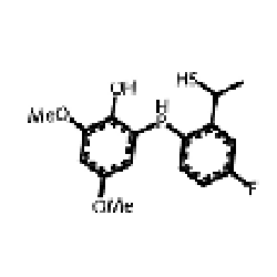 COc1cc(OC)c(O)c(Pc2ccc(F)cc2C(C)S)c1